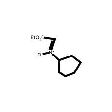 CCOC(=O)/C=[N+](\[O-])C1CCCCC1